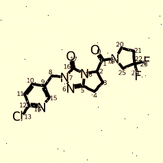 O=C(C1CCc2nn(Cc3ccc(Cl)nc3)c(=O)n21)N1CCC(F)(F)C1